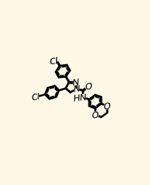 O=C(Nc1ccc2c(c1)OCCO2)N1CC(c2ccc(Cl)cc2)C(c2ccc(Cl)cc2)=N1